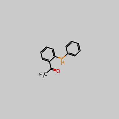 O=C(c1ccccc1Pc1ccccc1)C(F)(F)F